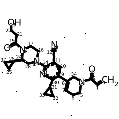 C=CC(=O)N1CCC=C(c2cc(C#N)c(N3CCN(C(=O)CCO)C(C4CC4)C3)nc2C2CC2)C1